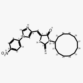 O=C1/C(=C/c2cn(-c3ccc([N+](=O)[O-])cc3)cn2)SC(=S)N1C1CCCCCCCCCCC1